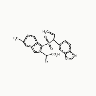 C=CC(c1ccc2ncsc2c1)S(=O)(=O)n1c(C(CC)C(=O)O)cc2cc(C(F)(F)F)ccc21